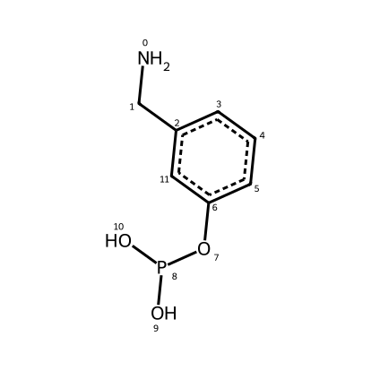 NCc1cccc(OP(O)O)c1